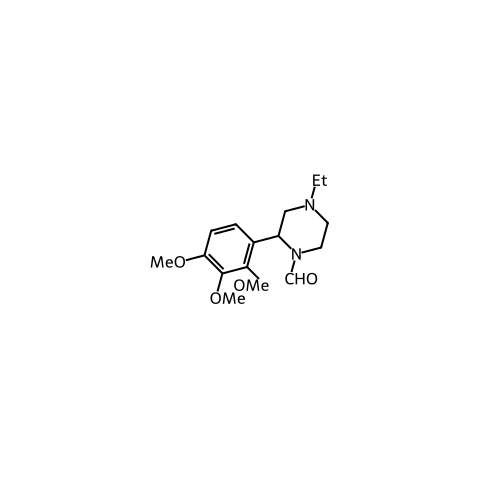 CCN1CCN(C=O)C(c2ccc(OC)c(OC)c2OC)C1